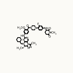 CC[C@H]1c2nnc(C)n2-c2cnc(Nc3ccc(C(=O)N4CCN(c5ccc(NC6CCC(=O)N(C)C6=O)cc5F)CC4)c(OC)c3)nc2N1CC1CCCCC1